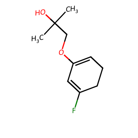 CC(C)(O)COC1=CCCC(F)=C1